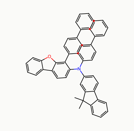 CC1(C)c2ccccc2-c2ccc(N(c3ccc(-c4ccccc4)cc3)c3ccc4c(oc5ccccc54)c3-c3ccc(-c4ccccc4)cc3)cc21